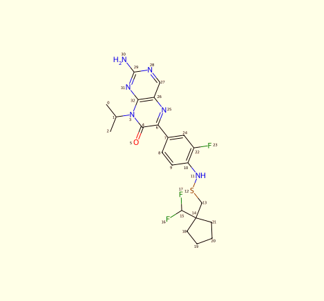 CC(C)n1c(=O)c(-c2ccc(NSCC3(C(F)F)CCCC3)c(F)c2)nc2cnc(N)nc21